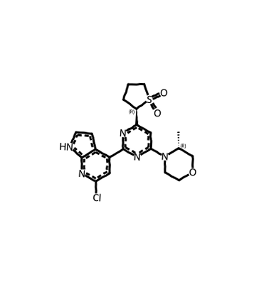 C[C@@H]1COCCN1c1cc([C@H]2CCCS2(=O)=O)nc(-c2cc(Cl)nc3[nH]ccc23)n1